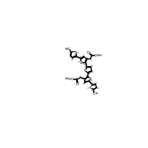 COC(=O)Cc1cc(-c2ccc(C#N)s2)sc1-c1ccc(-c2sc(-c3ccc(C#N)s3)cc2CC(=O)OC)s1